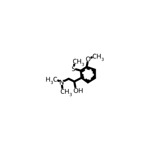 COc1cccc(C(O)CN(C)C)c1SC